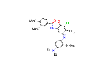 CCN(CC)c1ccc(/N=C2\C=C(NC(=O)c3ccc(OC)c(OC)c3)C(=O)C(Cl)=C2C)c(NC(C)=O)c1